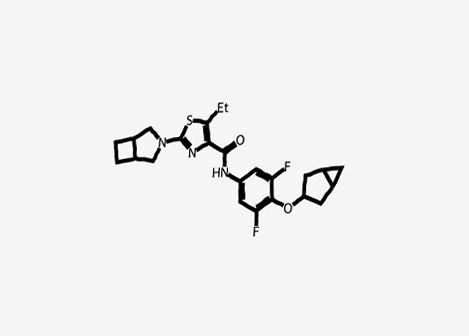 CCc1sc(N2CC3CCC3C2)nc1C(=O)Nc1cc(F)c(OC2CC3CC3C2)c(F)c1